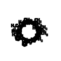 CC[C@@H](C)[C@@H]1NC(=O)[C@@H]2CCCN2C(=O)[C@H](Cc2ccccc2)N(C)C(=O)[C@H](Cc2ccccc2)NC(=O)[C@H](C(C)C)N(C)C(=O)[C@@H]([C@H](C)CC)OC(=O)[C@H](C(C)(C)O)N(C)C(=O)[C@H](CC(C)C)NC(=O)[C@H](CC(C)C)N(C)C1=O